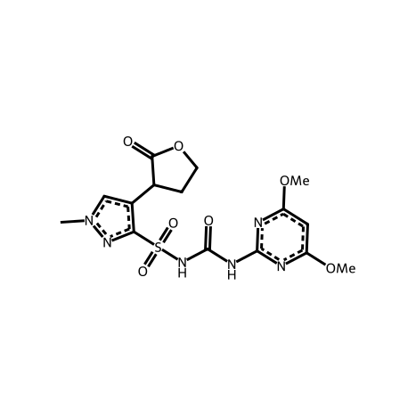 COc1cc(OC)nc(NC(=O)NS(=O)(=O)c2nn(C)cc2C2CCOC2=O)n1